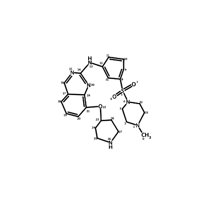 CN1CCN(S(=O)(=O)c2cccc(Nc3ncc4cccc(OC5CCNCC5)c4n3)c2)CC1